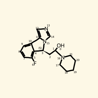 OC(C[C@H]1c2c(F)cccc2-c2cncn21)N1CCCCC1